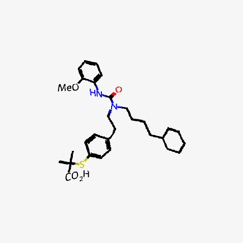 COc1ccccc1NC(=O)N(CCCCC1CCCCC1)CCc1ccc(SC(C)(C)C(=O)O)cc1